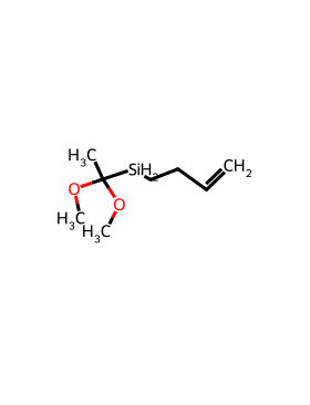 C=CCC[SiH2]C(C)(OC)OC